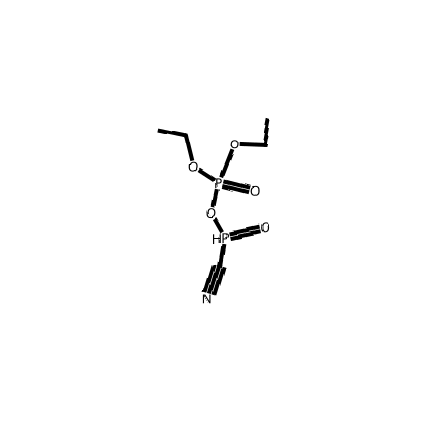 CCOP(=O)(OCC)O[PH](=O)C#N